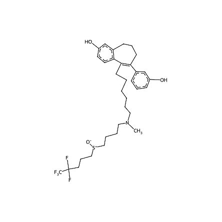 CN(CCCCCCC1=C(c2cccc(O)c2)CCCc2cc(O)ccc21)CCCC[S+]([O-])CCCC(F)(F)C(F)(F)F